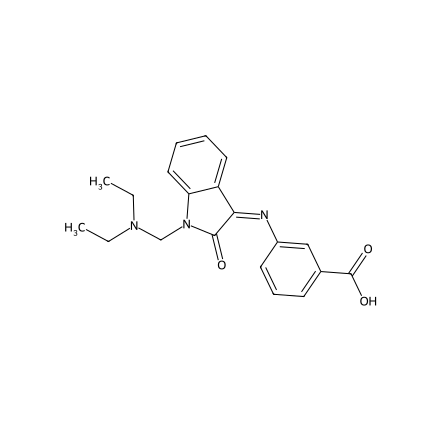 CCN(CC)CN1C(=O)/C(=N\c2cccc(C(=O)O)c2)c2ccccc21